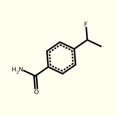 [CH2]C(F)c1ccc(C(N)=O)cc1